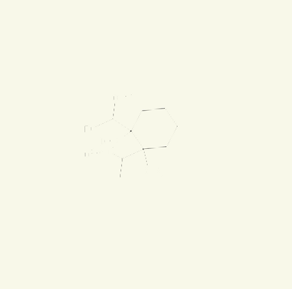 CCCCCC(CC)C1(C(=O)O)CCCCC1(C(=O)O)C(CC)CCCCC